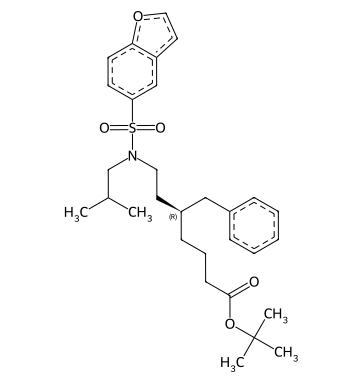 CC(C)CN(CC[C@H](CCCC(=O)OC(C)(C)C)Cc1ccccc1)S(=O)(=O)c1ccc2occc2c1